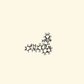 Fc1ccccc1CNCc1ccc(CN(Cc2nc3ccccc3[nH]2)C2CCCc3cccnc32)cc1